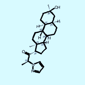 C[C@@H](C(=O)[C@H]1CC[C@H]2[C@@H]3CC[C@@H]4C[C@](C)(O)CC[C@@H]4[C@H]3CC[C@]12C)n1cccn1